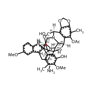 COc1ccc2[nH]c3c(c2c1)C[C@@H](CN)N[C@]31CS[C@@H]2c3c(OC(C)=O)c(C)c4c(c3[C@H](COC1=O)N1[C@@H]2[C@H]2c3c(cc(C)c(OC)c3O)C[C@@H]([C@@H]1O)N2C)OCO4